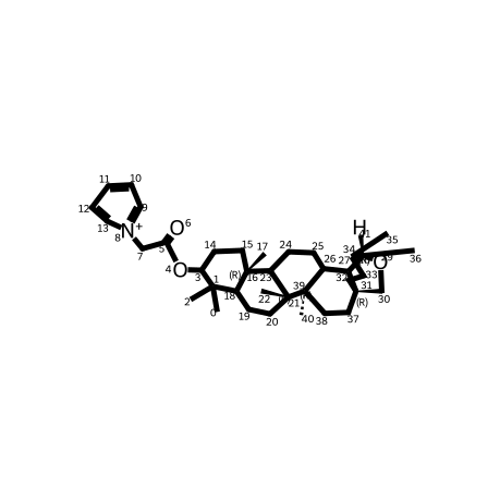 CC1(C)C(OC(=O)C[n+]2ccccc2)CC[C@@]2(C)C1CC[C@]1(C)C2CCC2C3[C@H]4OC[C@@]3(CCC4(C)C)CC[C@]21C